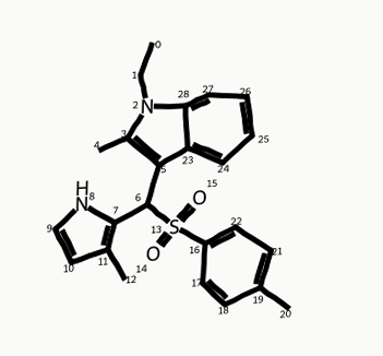 CCn1c(C)c(C(c2[nH]ccc2C)S(=O)(=O)c2ccc(C)cc2)c2ccccc21